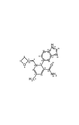 CC1=CN(C[C@@H]2CCO2)C(c2ccc3[nH]cnc3c2)C(C(N)=O)=C1